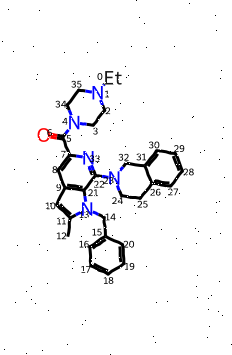 CCN1CCN(C(=O)c2cc3cc(C)n(Cc4ccccc4)c3c(N3CCc4ccccc4C3)n2)CC1